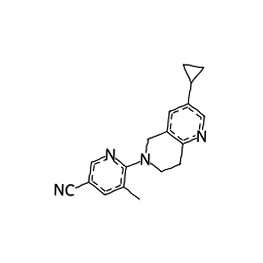 Cc1cc(C#N)cnc1N1CCc2ncc(C3CC3)cc2C1